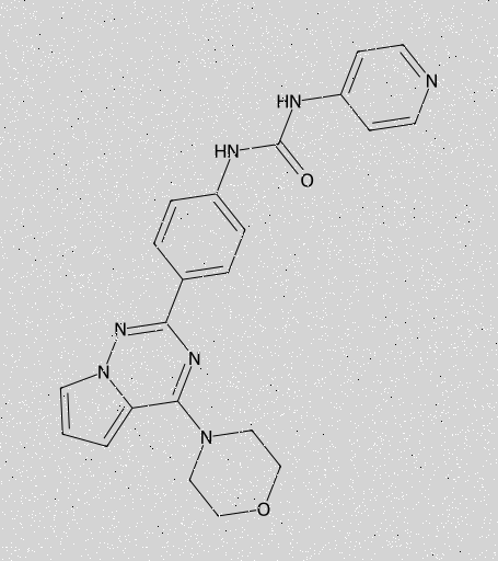 O=C(Nc1ccncc1)Nc1ccc(-c2nc(N3CCOCC3)c3cccn3n2)cc1